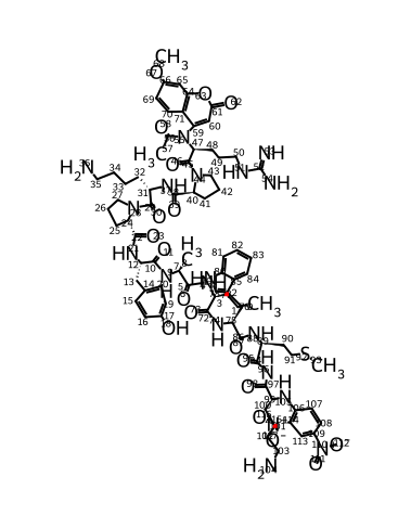 CCC[C@H](NC(=O)[C@H](C)NC(=O)[C@H](Cc1ccc(O)cc1)NC(=O)[C@@H]1CCCN1C(=O)[C@H](CCCCN)NC(=O)[C@@H]1CCCN1C(=O)[C@H](CCCNC(=N)N)N(C(C)=O)c1cc(=O)oc2cc(OC)ccc12)C(=O)N[C@@H](Cc1c[nH]c2ccccc12)C(=O)N[C@@H](CCSC)C(=O)NC(=O)[C@H](CCCCN)Nc1ccc([N+](=O)[O-])cc1[N+](=O)[O-]